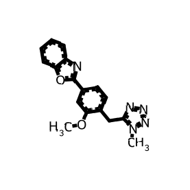 COc1cc(-c2nc3ccccc3o2)ccc1Cc1nnnn1C